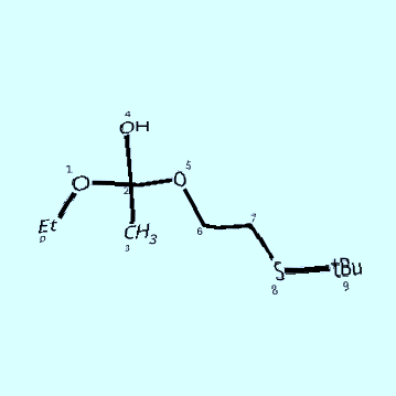 CCOC(C)(O)OCCSC(C)(C)C